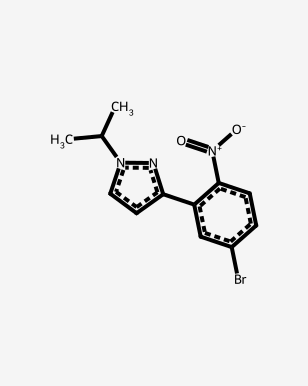 CC(C)n1ccc(-c2cc(Br)ccc2[N+](=O)[O-])n1